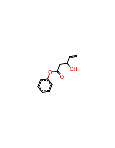 C=CC(O)CC(=O)Oc1ccccc1